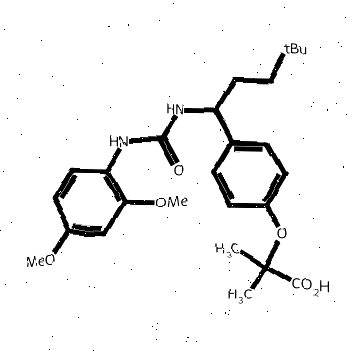 COc1ccc(NC(=O)NC(CCC(C)(C)C)c2ccc(OC(C)(C)C(=O)O)cc2)c(OC)c1